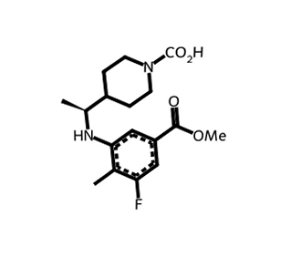 COC(=O)c1cc(F)c(C)c(N[C@@H](C)C2CCN(C(=O)O)CC2)c1